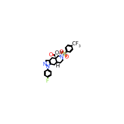 COC(=O)[C@]12Cc3cnn(-c4ccc(F)cc4)c3C[C@@H]1CCN(S(=O)(=O)c1ccc(C(F)(F)F)cc1)C2